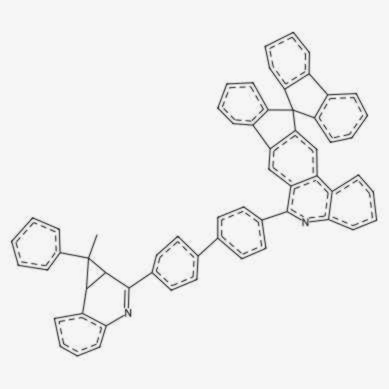 CC1(c2ccccc2)C2C(c3ccc(-c4ccc(-c5nc6ccccc6c6cc7c(cc56)-c5ccccc5C75c6ccccc6-c6ccccc65)cc4)cc3)=Nc3ccccc3C21